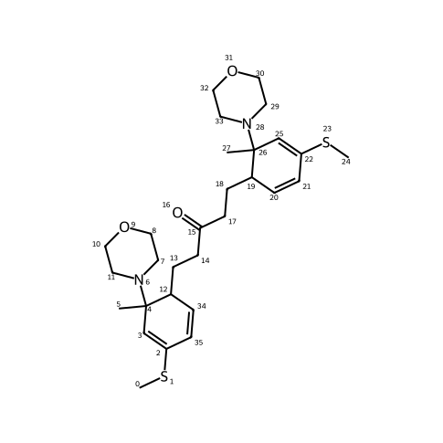 CSC1=CC(C)(N2CCOCC2)C(CCC(=O)CCC2C=CC(SC)=CC2(C)N2CCOCC2)C=C1